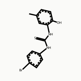 Cc1ccc(O)c(NC(=S)Nc2ccc(Br)cc2)c1